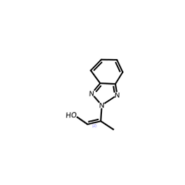 C/C(=C/O)n1nc2ccccc2n1